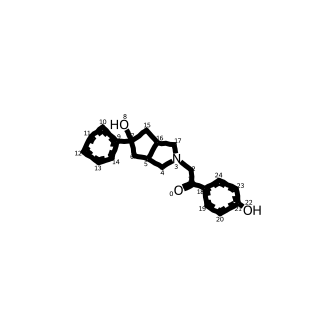 O=C(CN1CC2CC(O)(c3ccccc3)CC2C1)c1ccc(O)cc1